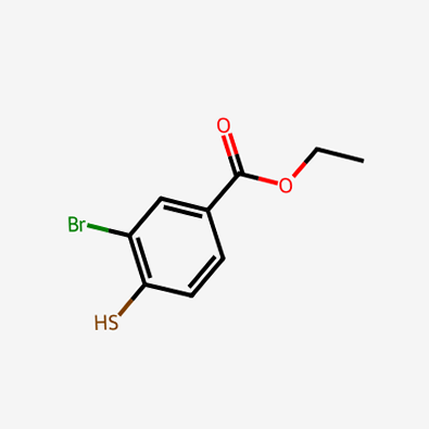 CCOC(=O)c1ccc(S)c(Br)c1